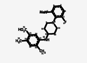 CNc1cccc(F)c1N1CCC(Nc2cc(C(=O)O)c(C)cc2C)CC1